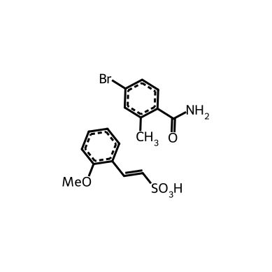 COc1ccccc1/C=C/S(=O)(=O)O.Cc1cc(Br)ccc1C(N)=O